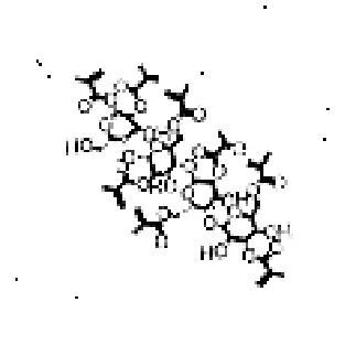 C=C(C)C(=O)OCC1O[C@@H](O[C@H]2C(O)C(OC(=O)C(C)=O)[C@H](O[C@@H]3C(COC(=O)C(=C)C)O[C@@H](O[C@H]4C(O)C(OC(=O)C(=C)C)[C@H](OC(=O)C(=C)C)O[C@H]4CO)C(OC(=O)C(=C)C)[C@H]3O)O[C@H]2COC(=O)C(=C)C)C(O)[C@@H](OC(=O)C(=C)C)[C@@H]1O